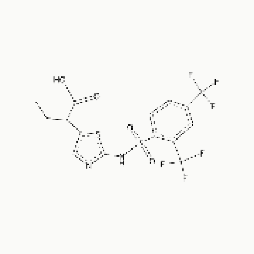 CCC(C(=O)O)c1cnc(NS(=O)(=O)c2ccc(C(F)(F)F)cc2C(F)(F)F)s1